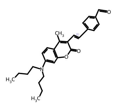 CCCCN(CCCC)c1ccc2c(C)c(/C=C/c3ccc(C=O)cc3)c(=O)oc2c1